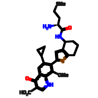 COc1c(-c2cc3c(s2)CCCC3NC(=O)[C@H](N)CCSC)c(C2CC2)cc2c(=O)c(C(=O)O)c[nH]c12